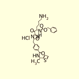 CC(NC(=O)c1ccc(Cc2nc(C(=O)C(CCCCN)NC(=O)OCc3ccccc3)no2)cc1)c1cccs1.Cl